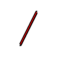 S=S=S=S=S=S=S=S=S=S=S=S=S=S=S=S=S=S=S=S=S=S=S=S=S=S=S=S=S=S=S=S=S=S=S=S=S=S=S=S=S=S=S=S=S=S=S=S=S=S=S=S=S=S=S=S=S=S=S=S=S=S=S=S=S=S=S=S=S=S=S=S=S=S=S=S=S=S=S=S=S=S=S=S=S=S=S=S=S=S=S=S=S=S=S=S=S=S=S=S=S=S=S=S=S=S=S=S=S=S=S=S=S=S=S=S=S=S=S=S=S=S=S=S=S=S=S=S=S=S=S=S=S=S=S=S=S=S=S=S=S=S=S=S=S=S=S=S=S